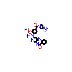 CCOc1cc(C(=O)N2CC[C@@H](N(C)C)C2)ccc1Nc1cc2c(cn1)N(C)C(=O)c1ccccc1N2C